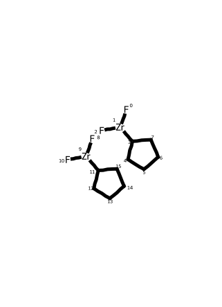 [F][Zr]([F])[CH]1CCCC1.[F][Zr]([F])[CH]1CCCC1